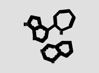 C1=CC=C(c2ccnc3[nH]ccc23)NC=C1.c1ccc2ncncc2c1